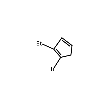 CCC1=[C]([Ti])CC=C1